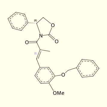 COc1ccc(/C=C(\C)C(=O)N2C(=O)OC[C@H]2c2ccccc2)cc1OCc1ccccc1